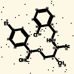 CCc1ccc(N(C=O)OC[C@@H](C)N(NCc2ccccc2Cl)C(C)=O)cc1